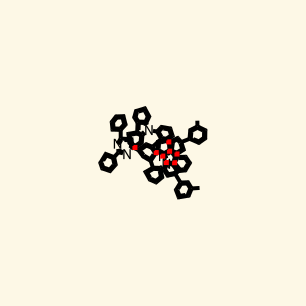 Cc1cccc(-c2ccc3c(c2)c2cc(-c4cccc(C)c4)ccc2n3-c2c(-c3ccccc3-n3c4ccccc4c4ccccc43)cc(-c3cc(-c4ccccc4)nc(-c4ccccc4)n3)cc2-c2ccccc2-n2c3ccccc3c3ccccc32)c1